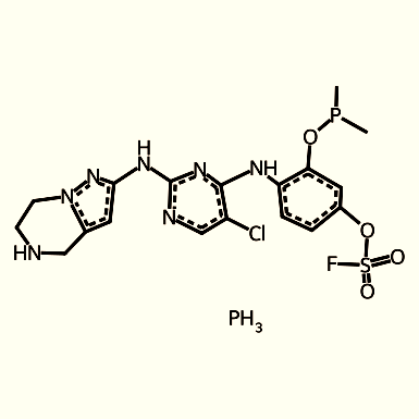 CP(C)Oc1cc(OS(=O)(=O)F)ccc1Nc1nc(Nc2cc3n(n2)CCNC3)ncc1Cl.P